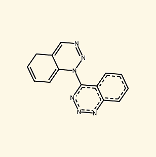 C1=CCC2=CN=NN(c3nnnc4ccccc34)C2=C1